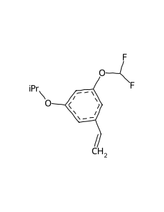 C=Cc1cc(OC(C)C)cc(OC(F)F)c1